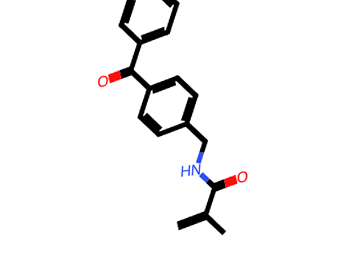 C=C(C)C(=O)NCc1ccc(C(=O)c2ccccc2)cc1